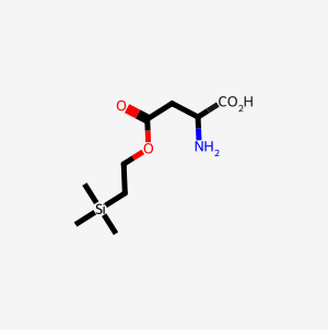 C[Si](C)(C)CCOC(=O)CC(N)C(=O)O